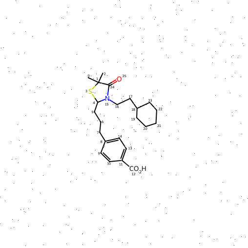 CC1(C)SC(CCCc2ccc(C(=O)O)cc2)N(CCC2CCCCC2)C1=O